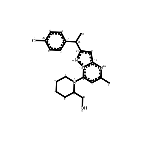 Cc1cc(N2CCCCC2CO)n2nc(C(C)c3ccc(Cl)cc3)cc2n1